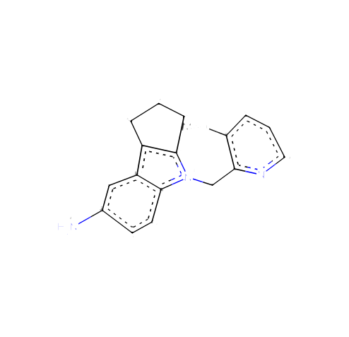 COc1cccnc1Cn1c2c(c3cc(N)ccc31)CCC2